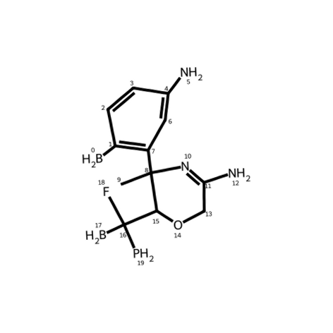 Bc1ccc(N)cc1C1(C)N=C(N)COC1C(B)(F)P